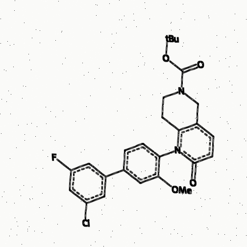 COc1cc(-c2cc(F)cc(Cl)c2)ccc1-n1c2c(ccc1=O)CN(C(=O)OC(C)(C)C)CC2